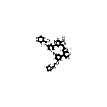 O=C(Nc1cncc(-c2cc3c(-c4cc5c(-c6cc(F)cc(OCCN7CCCC7)c6)ccnc5[nH]4)n[nH]c3cn2)c1)C1CCCCC1